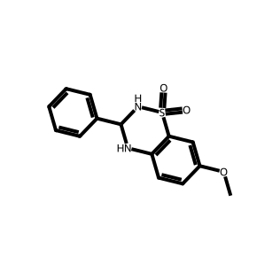 COc1ccc2c(c1)S(=O)(=O)NC(c1ccccc1)N2